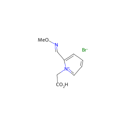 CON=Cc1cccc[n+]1CC(=O)O.[Br-]